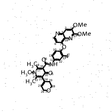 COc1cc2nccc(Oc3ccc(NC(=O)c4c(C)n(C)c(C)c(C5=CCOCC5)c4=O)cc3F)c2nc1OC